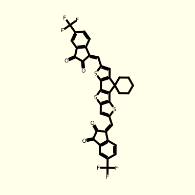 O=C1C(=O)c2cc(C(F)(F)F)ccc2/C1=C/c1cc2c(s1)-c1sc3cc(/C=C4\C(=O)C(=O)c5cc(C(F)(F)F)ccc54)sc3c1C21CCCCC1